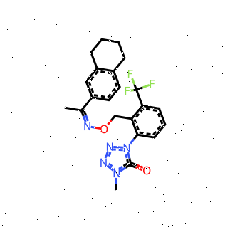 C/C(=N/OCc1c(-n2nnn(C)c2=O)cccc1C(F)(F)F)c1ccc2c(c1)CCCC2